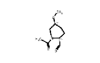 CO[C@H]1CC[C@@H](C=O)N(C(C)=O)C1